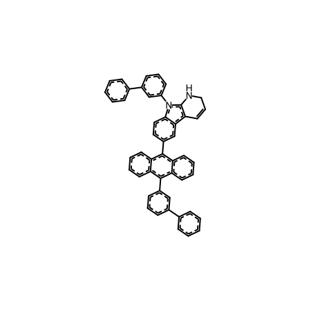 C1=Cc2c(n(-c3cccc(-c4ccccc4)c3)c3ccc(-c4c5ccccc5c(-c5cccc(-c6ccccc6)c5)c5ccccc45)cc23)NC1